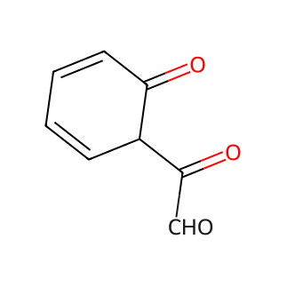 O=CC(=O)C1C=CC=CC1=O